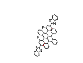 Fc1cc(-c2nc3ccccc3s2)ccc1-c1c2ccccc2c(-c2ccc(-c3nc4ccccc4s3)cc2F)c2c(-c3ccccc3)c3ccccc3c(-c3ccccc3)c12